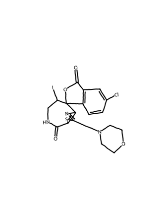 O=C1OC2(c3ccc(Cl)cc31)c1nc(N3CCOCC3)sc1C(=O)NCC2I